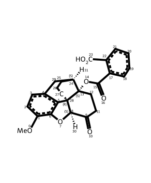 COc1ccc2c3c1O[C@@H]1C(=O)CC[C@]4(OC(=O)c5ccccc5C(=O)O)[C@@H](CCC[C@@]314)C2